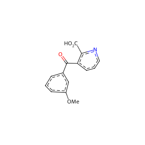 COc1cccc(C(=O)c2cccnc2C(=O)O)c1